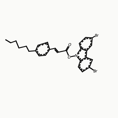 CCCCCCc1ccc(C=CC(=O)On2c3ccc(Br)cc3c3cc(Br)ccc32)cc1